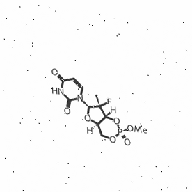 CO[P@@]1(=O)OC[C@H]2O[C@@H](n3ccc(=O)[nH]c3=O)[C@](C)(F)[C@@H]2O1